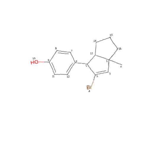 CC12C=C(Br)C(c3ccc(O)cc3)C1CCC2